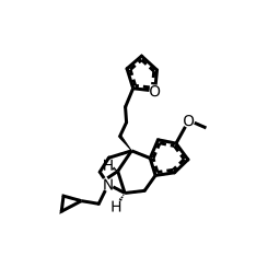 COc1ccc2c(c1)[C@@]1(CCCc3ccco3)CCN(CC3CC3)[C@H](C2)[C@H]1C